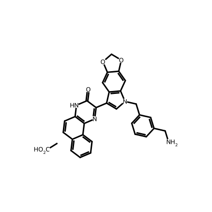 CC(=O)O.NCc1cccc(Cn2cc(-c3nc4c(ccc5ccccc54)[nH]c3=O)c3cc4c(cc32)OCO4)c1